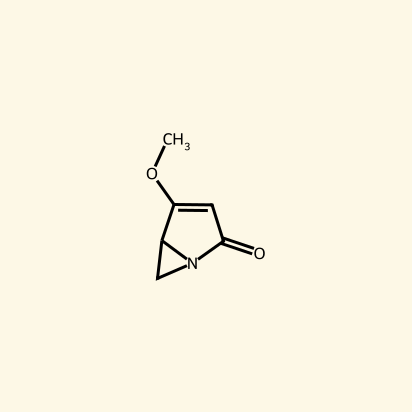 COC1=CC(=O)N2CC12